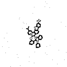 CC(C)c1cc[n+]2c(c1)-c1c(ccc3c1sc1cc([Si](C)(C)C)ccc13)C1C2Oc2ccccc2-c2n(-c3ccccc3)c3ccccc3[n+]21